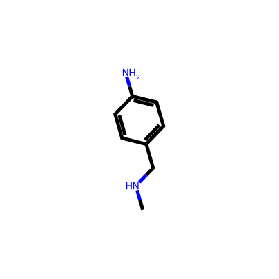 CNCc1ccc(N)cc1